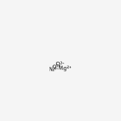 [Mg+2].[Ni+2].[O-2].[O-2]